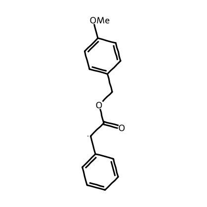 COc1ccc(COC(=O)[CH]c2ccccc2)cc1